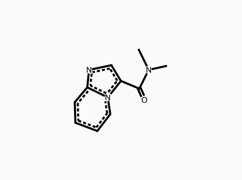 CN(C)C(=O)c1cnc2ccccn12